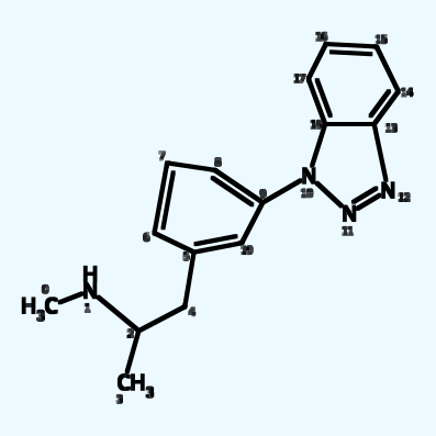 CNC(C)Cc1cccc(-n2nnc3ccccc32)c1